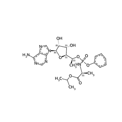 CC(C)OC(=O)[C@H](C)NP(=O)(Oc1ccccc1)O[C@@H](C)[C@H]1O[C@@H](n2cnc3c(N)ncnc32)[C@H](O)[C@@H]1O